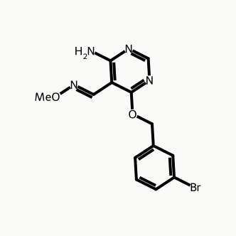 CON=Cc1c(N)ncnc1OCc1cccc(Br)c1